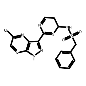 O=S(=O)(Cc1ccccc1)NC1CC=NC(c2n[nH]c3ncc(Cl)nc23)=N1